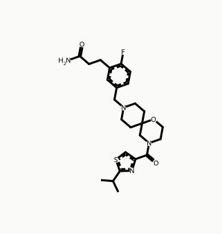 CC(C)c1nc(C(=O)N2CCOC3(CCN(Cc4ccc(F)c(CCC(N)=O)c4)CC3)C2)cs1